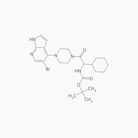 CC(C)(C)OC(=O)NC(C(=O)N1CCN(c2c(Br)cnc3[nH]ccc23)CC1)C1CCCCC1